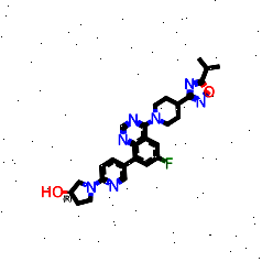 CC(C)c1nc(C2CCN(c3ncnc4c(-c5ccc(N6CC[C@@H](O)C6)nc5)cc(F)cc34)CC2)no1